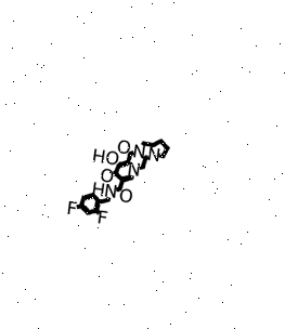 O=C(NCc1ccc(F)cc1F)c1cn2c(c(O)c1=O)C(=O)N1CC3CCCN3C1C2